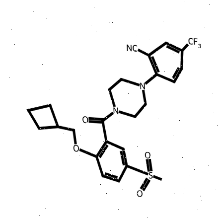 CS(=O)(=O)c1ccc(OCC2CCC2)c(C(=O)N2CCN(c3ccc(C(F)(F)F)cc3C#N)CC2)c1